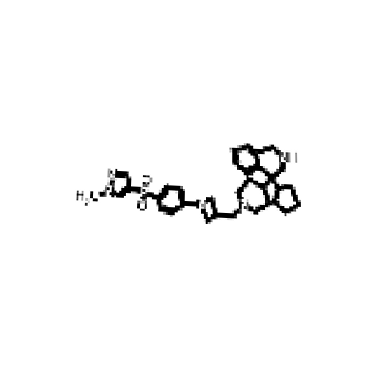 Cn1cc(S(=O)(=O)c2ccc(N3CC(CN4CCC(C5(C6CCCC6)CNCc6ccccc65)CC4)C3)cc2)cn1